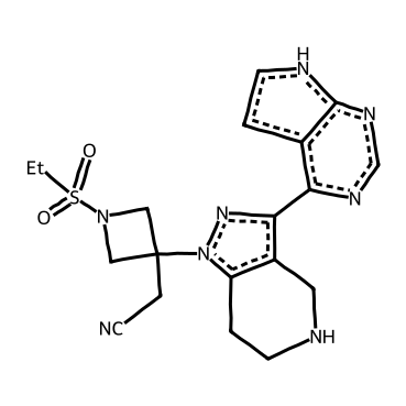 CCS(=O)(=O)N1CC(CC#N)(n2nc(-c3ncnc4[nH]ccc34)c3c2CCNC3)C1